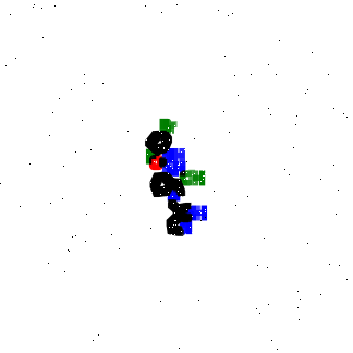 Cl.O=C(Nc1cc(Br)ccc1F)Nc1cccc2c1ccn2Cc1c[nH]c2ncccc12